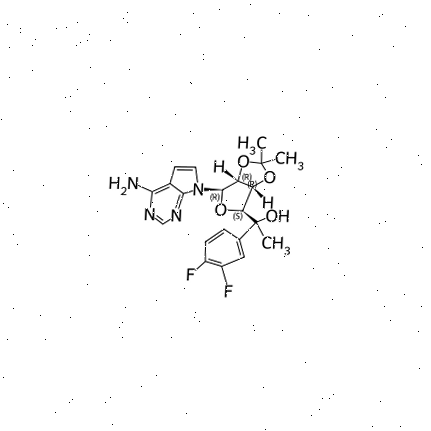 CC1(C)O[C@@H]2[C@H](O1)[C@@H](C(C)(O)c1ccc(F)c(F)c1)O[C@H]2n1ccc2c(N)ncnc21